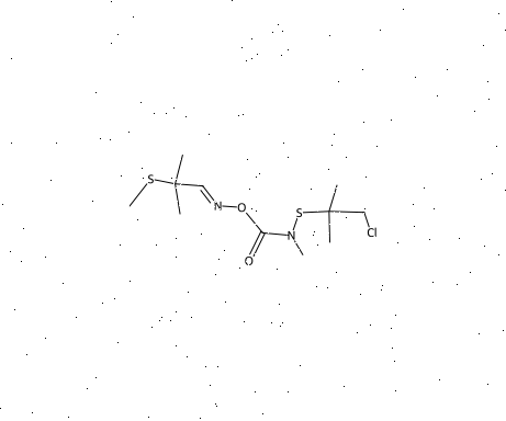 CSC(C)(C)C=NOC(=O)N(C)SC(C)(C)CCl